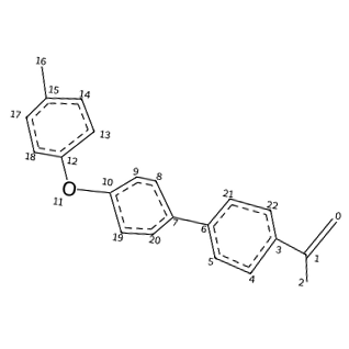 C=C(C)c1ccc(-c2ccc(Oc3ccc(C)cc3)cc2)cc1